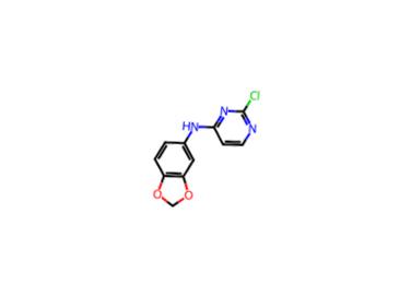 Clc1nccc(Nc2ccc3c(c2)OCO3)n1